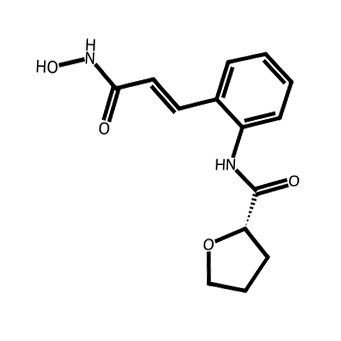 O=C(C=Cc1ccccc1NC(=O)[C@@H]1CCCO1)NO